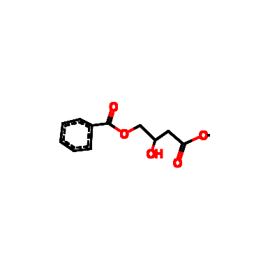 [O]C(=O)CC(O)COC(=O)c1ccccc1